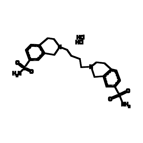 Cl.Cl.NS(=O)(=O)c1ccc2c(c1)CN(CCCCN1CCc3ccc(S(N)(=O)=O)cc3C1)CC2